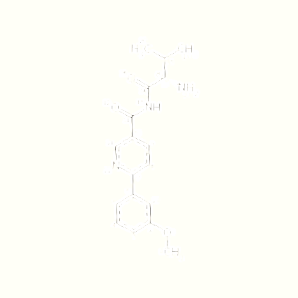 COc1cccc(-c2ccc(C(=O)NC(=O)[C@@H](N)C(C)C)cn2)c1